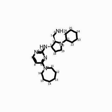 NC[C@@H]1[C@@H](Nc2nccc(N3CCCCCC3)n2)CCN1C1CCCCC1